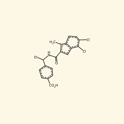 CCC(NC(=O)c1cc2c(Cl)c(Cl)ccc2n1C)c1ccc(C(=O)O)cc1